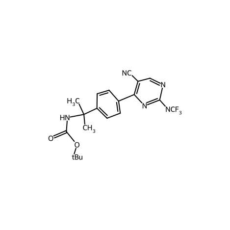 CC(C)(C)OC(=O)NC(C)(C)c1ccc(-c2nc(NC(F)(F)F)ncc2C#N)cc1